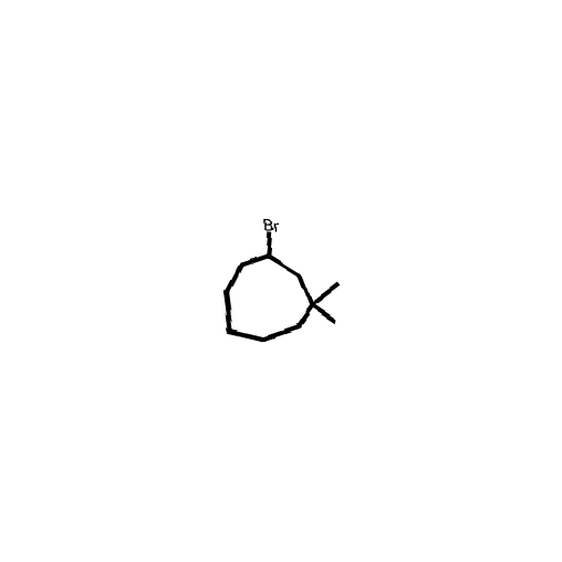 CC1(C)CCCCCC(Br)C1